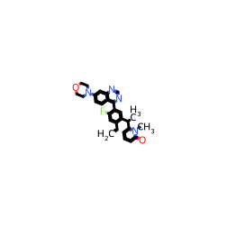 C=Cc1cc(F)c(-c2ncnc3cc(N4CCOCC4)ccc23)cc1C(C)c1cccc(=O)n1C